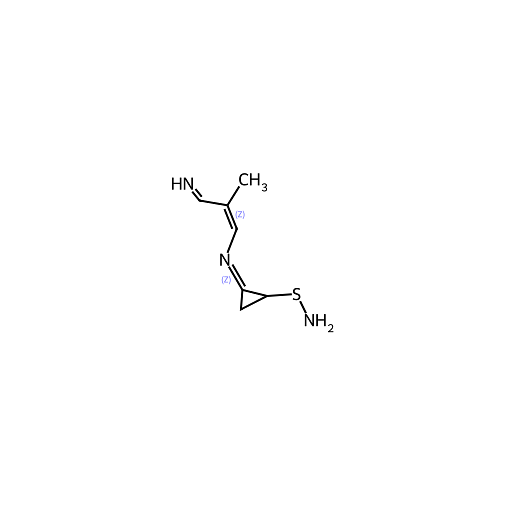 C/C(C=N)=C/N=C1/CC1SN